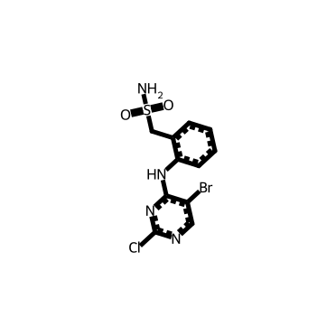 NS(=O)(=O)Cc1ccccc1Nc1nc(Cl)ncc1Br